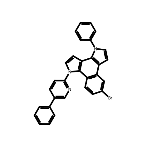 Brc1ccc2c(c1)c1ccn(-c3ccccc3)c1c1ccn(-c3ccc(-c4ccccc4)cn3)c21